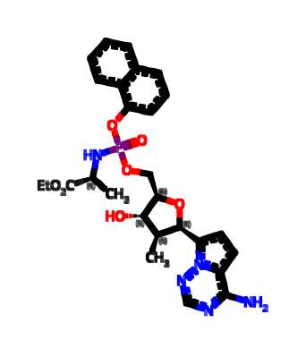 CCOC(=O)[C@H](C)NP(=O)(OC[C@H]1O[C@@H](c2ccc3c(N)ncnn23)[C@@H](C)[C@@H]1O)Oc1cccc2ccccc12